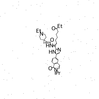 CCC(=O)CCCCC[C@H](NC(=O)[C@H]1CC12CCN(CC)CC2)c1ncc(-c2ccc3c(=O)n(C(C)C)ccc3c2)[nH]1